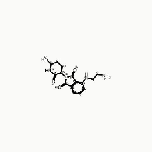 NCCNc1cccc2c1C(=O)N(C1CCC(O)NC1=O)C2=O